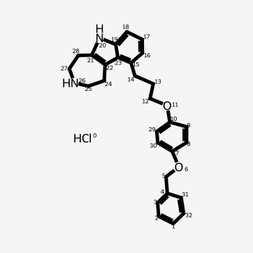 Cl.c1ccc(COc2ccc(OCCCc3cccc4[nH]c5c(c34)CCNCC5)cc2)cc1